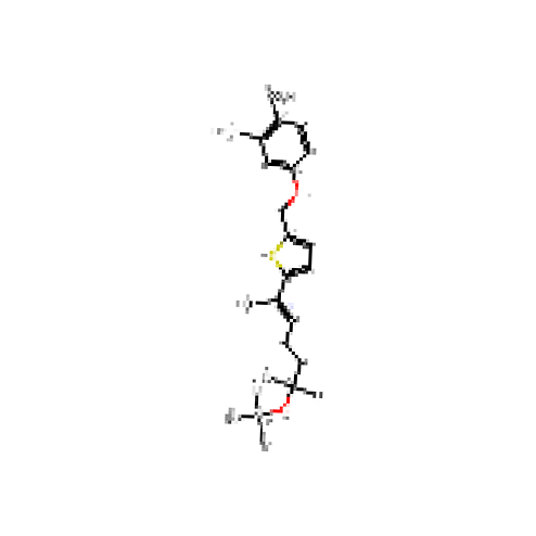 CCC(CC)(CC/C=C(\C)c1ccc(COc2ccc(C(=O)O)c(C(=O)O)c2)s1)O[Si](CC)(CC)CC